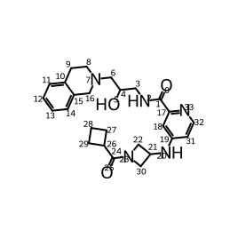 O=C(NCC(O)CN1CCc2ccccc2C1)c1cc(NC2CN(C(=O)C3CCC3)C2)ccn1